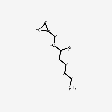 CCCCCC(Br)OCC1CO1